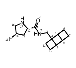 O=C(NCC12C3C4C5C3C1C5C42)[C@@H]1C[C@@H](F)CN1